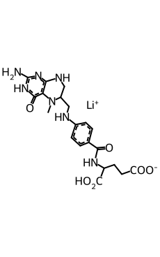 CN1c2c(nc(N)[nH]c2=O)NCC1CNc1ccc(C(=O)NC(CCC(=O)[O-])C(=O)O)cc1.[Li+]